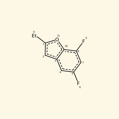 CCc1cc2cc(F)cc(F)c2o1